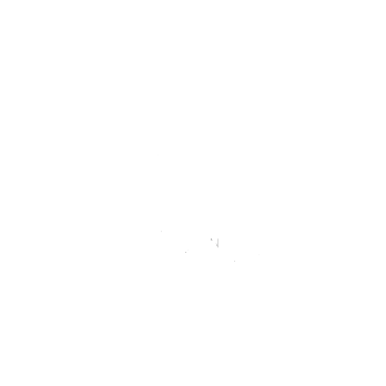 [CH2]c1ccc(C=CCN2C(=O)CCCC2=O)cc1